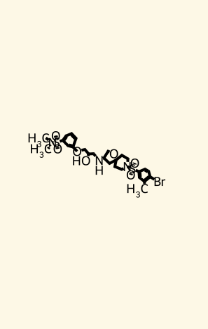 Cc1cc(S(=O)(=O)N2CCC3(CC2)CC(NCC(O)COc2cccc(S(=O)(=O)N(C)C)c2)CO3)ccc1Br